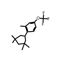 Cc1cc(OC(F)(F)F)c[c]c1C1CC(C)(C)CC(C)(C)C1